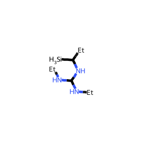 CCNC(NCC)NC([SiH3])CC